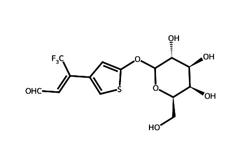 O=CC=C(c1csc(OC2O[C@H](CO)[C@H](O)[C@H](O)[C@H]2O)c1)C(F)(F)F